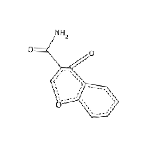 NC(=O)c1coc2ccccc2c1=O